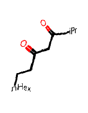 CCCCCCCCC(=O)CC(=O)C(C)C